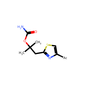 CC(=O)c1csc(CC(C)(C)OC(N)=O)n1